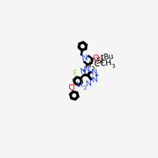 CC(C)(C)[Si](C)(C)O[C@@H]1C[C@@H](n2nc(-c3ccc(Oc4ccccc4)cc3F)c3c(N)ncnc32)CN(Cc2ccccc2)C1